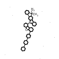 CC1(C)c2ccccc2-c2cc3c(cc21)c1ccccc1n3-c1cccc2oc3c(-c4ccc(-c5ccc(-c6ccccc6)cc5)cc4)cccc3c12